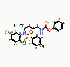 C[C@H](CCCNC(=O)Oc1ccccc1)N(c1cc(Cl)ccc1Cl)S(=O)(=O)c1ccc(Cl)cc1